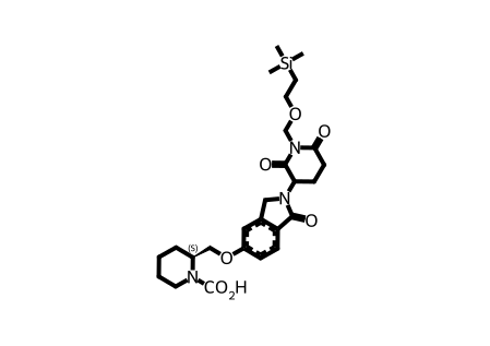 C[Si](C)(C)CCOCN1C(=O)CCC(N2Cc3cc(OC[C@@H]4CCCCN4C(=O)O)ccc3C2=O)C1=O